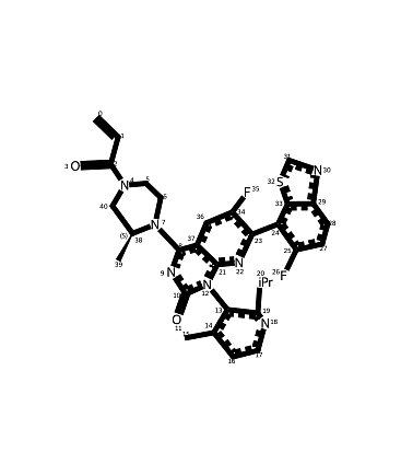 C=CC(=O)N1CCN(c2nc(=O)n(-c3c(C)ccnc3C(C)C)c3nc(-c4c(F)ccc5ncsc45)c(F)cc23)[C@@H](C)C1